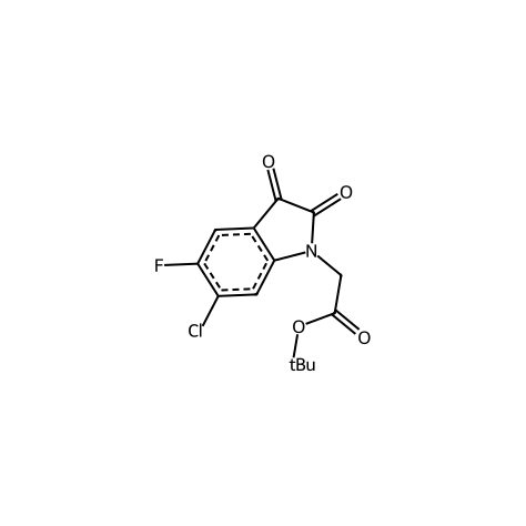 CC(C)(C)OC(=O)CN1C(=O)C(=O)c2cc(F)c(Cl)cc21